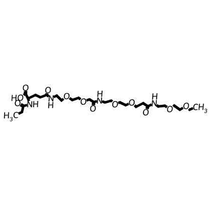 CCOCCOCCNC(=O)CCOCCOCCNC(=O)COCCOCCNC(=O)CCC(NC(=O)CC)C(=O)O